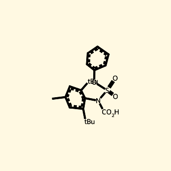 Cc1cc(C(C)(C)C)c(N(C(=O)O)S(=O)(=O)Oc2ccccc2)c(C(C)(C)C)c1